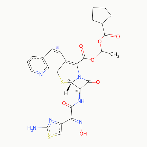 CC(OC(=O)C1=C(/C=C\c2cccnc2)CS[C@H]2[C@H](NC(=O)C(=NO)c3csc(N)n3)C(=O)N12)OC(=O)C1CCCC1